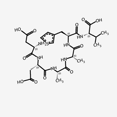 CC(C)[C@H](NC(=O)[C@H](Cc1ccsc1)NC(=O)[C@H](C)NC(=O)[C@H](C)NC(=O)[C@H](CC(=O)O)NC(=O)[C@@H](N)CC(=O)O)C(=O)O